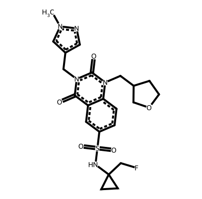 Cn1cc(Cn2c(=O)c3cc(S(=O)(=O)NC4(CF)CC4)ccc3n(CC3CCOC3)c2=O)cn1